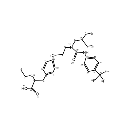 CCOC(Cc1ccc(OCCN(CC(CC)CC)C(=O)Nc2ccc(C(F)(F)F)cc2)cc1)C(=O)O